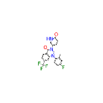 Cc1cc(F)ccc1N1CN(c2ccc(=O)[nH]c2)C(=O)c2ccc(C(F)(F)F)cc21